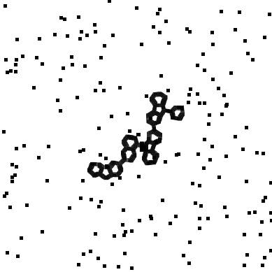 c1ccc(C2c3ccccc3-c3ccc(-c4ccc5c6ccccc6n(-c6cccc7cc(-c8ccc9c(c8)-c8ccccc8C9)ccc67)c5c4)cc32)cc1